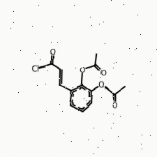 CC(=O)Oc1cccc(C=CC(=O)Cl)c1OC(C)=O